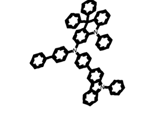 c1ccc(-c2ccc(N(c3ccc(-c4ccc5c(c4)c4ccccc4n5-c4ccccc4)cc3)c3ccc4c(c3)N(c3ccccc3)c3ccccc3C4(c3ccccc3)c3ccccc3)cc2)cc1